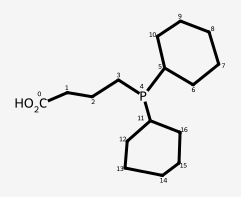 O=C(O)CCCP(C1CCCCC1)C1CCCCC1